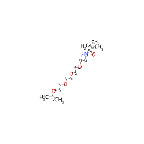 CC(C)OCCOCCOCCOCCNC(=O)C(C)(C)C